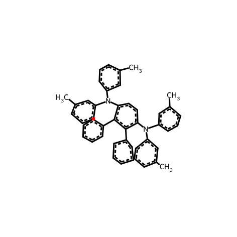 Cc1cccc(N(c2cccc(C)c2)c2ccc(N(c3cccc(C)c3)c3cccc(C)c3)c(-c3ccccc3)c2-c2ccccc2)c1